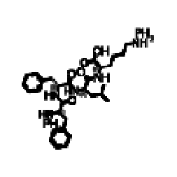 CC(C)C[C@@H](NC(=O)[C@@H](Cc1ccccc1)NC(=O)[C@@H](Cc1ccccc1)NP)C(=O)N[C@H](CCCCNP)C(=O)O